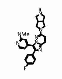 CNc1cc(-c2c(-c3ccc(F)cc3)nc3ccc(N4CC5CN(C)CC5C4)nn23)ccn1